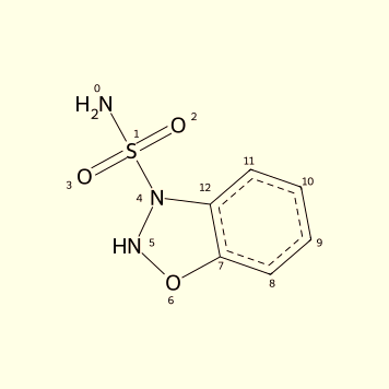 NS(=O)(=O)N1NOc2ccccc21